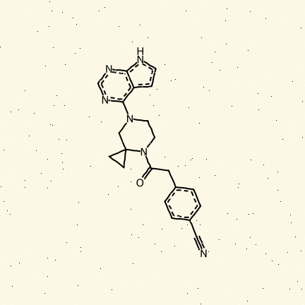 N#Cc1ccc(CC(=O)N2CCN(c3ncnc4[nH]ccc34)CC23CC3)cc1